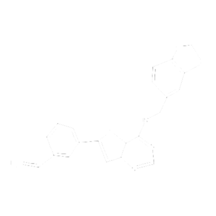 C=Cc1cccc(C2=CC3N=CN=C(NCc4ccc5c(c4)OCO5)C3S2)c1